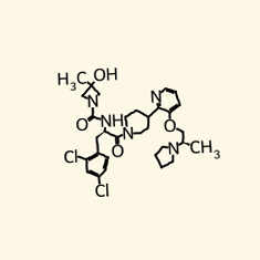 C[C@H](COc1cccnc1C1CCN(C(=O)[C@@H](Cc2ccc(Cl)cc2Cl)NC(=O)N2CC(C)(O)C2)CC1)N1CCCC1